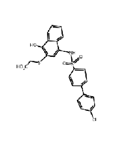 O=C(O)CSc1cc(NS(=O)(=O)c2ccc(-c3ccc(Cl)cc3)cc2)c2ccccc2c1O